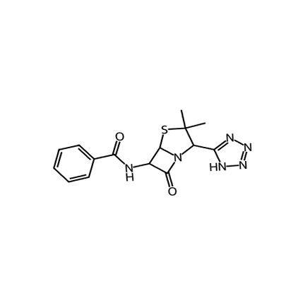 CC1(C)SC2C(NC(=O)c3ccccc3)C(=O)N2C1c1nnn[nH]1